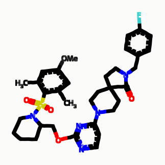 COc1cc(C)c(S(=O)(=O)N2CCCCC2COc2nccc(N3CCC4(CCN(Cc5ccc(F)cc5)C4=O)CC3)n2)c(C)c1